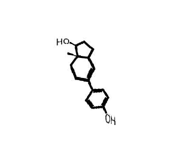 C[C@]12CCC(c3ccc(O)cc3)=CC1CC[C@@H]2O